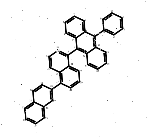 c1ccc(-c2c3ccccc3c(-c3nccc4c(-c5ccc6ccccc6c5)cccc34)c3ccccc23)cc1